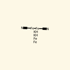 N#[C][Fe][Fe][C]#N.[Fe].[Fe].[KH].[KH]